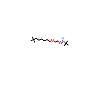 CC(C)(C)CCCCCCOCCONC(C)(C)C